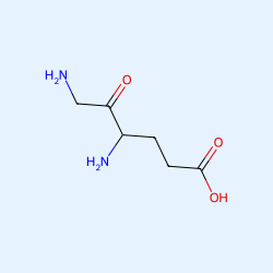 NCC(=O)C(N)CCC(=O)O